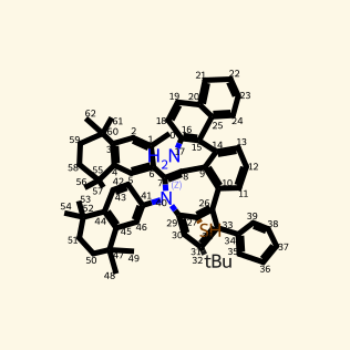 Cc1cc2c(cc1/C1=C/c3c(cccc3-c3c(N)ccc4ccccc34)-c3c(S)c(cc(C(C)(C)C)c3-c3ccccc3)N1c1ccc3c(c1)C(C)(C)CCC3(C)C)C(C)(C)CCC2(C)C